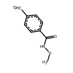 O=Cc1ccc(C(=O)NOP)cc1